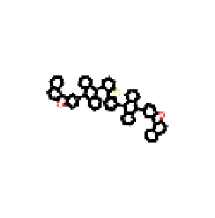 c1ccc2c(c1)ccc1oc3ccc(-c4c5ccccc5c(-c5cccc6c5sc5cccc(-c7c8ccccc8c(-c8ccc9oc%10ccc%11ccccc%11c%10c9c8)c8ccccc78)c56)c5ccccc45)cc3c12